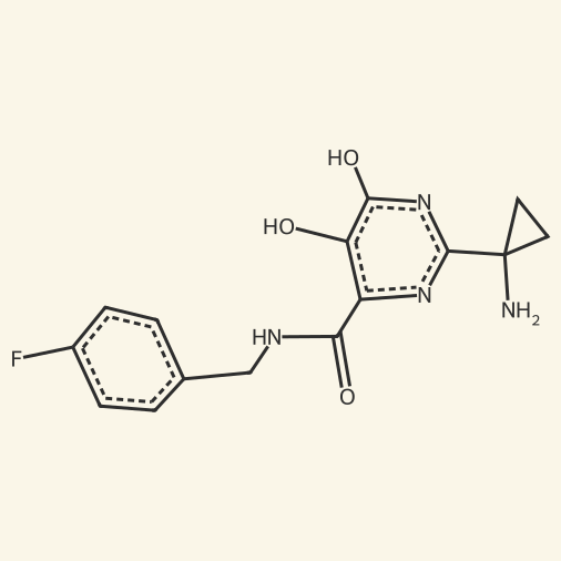 NC1(c2nc(O)c(O)c(C(=O)NCc3ccc(F)cc3)n2)CC1